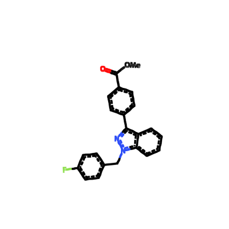 COC(=O)c1ccc(-c2nn(Cc3ccc(F)cc3)c3ccccc23)cc1